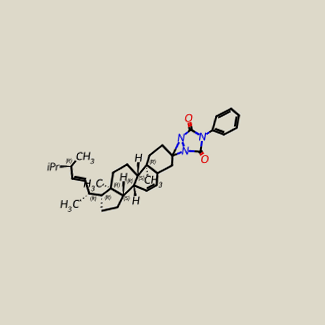 CC(C)[C@@H](C)C=C[C@@H](C)[C@H]1CC[C@H]2[C@H]3C=CC4CC5(CC[C@]4(C)[C@H]3CC[C@]12C)n1c(=O)n(-c2ccccc2)c(=O)n15